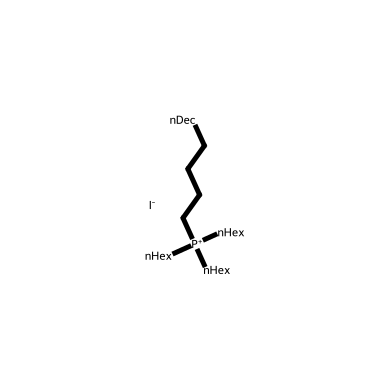 CCCCCCCCCCCCCC[P+](CCCCCC)(CCCCCC)CCCCCC.[I-]